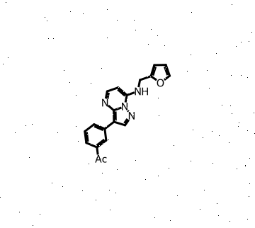 CC(=O)c1cccc(-c2cnn3c(NCc4ccco4)ccnc23)c1